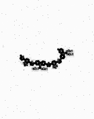 CCCCCCCCC(CCCCCCCC)n1c2ccc(C)cc2c2cc(-c3ccc(-c4ccc(-c5ccc(-c6ccc7c8ccc(-c9ccc(-c%10ccc(-c%11ccc(C)s%11)c%11nsnc%10%11)s9)cc8n(C(CCCCCCCC)CCCCCCCC)c7c6)s5)c5nsnc45)s3)ccc21